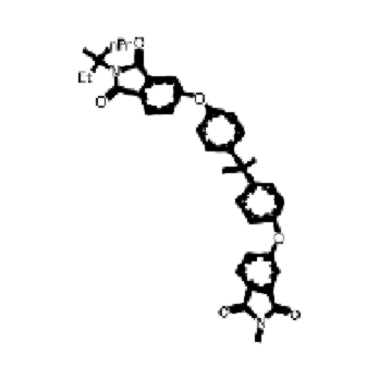 CCCC(C)(CC)N1C(=O)c2ccc(Oc3ccc(C(C)(C)c4ccc(Oc5ccc6c(c5)C(=O)N(C)C6=O)cc4)cc3)cc2C1=O